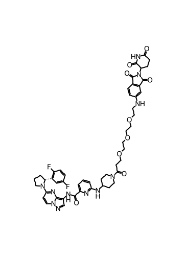 O=C1CCC(N2C(=O)c3ccc(NCCOCCOCCOCCC(=O)N4CCC(Nc5cccc(C(=O)Nc6cnn7ccc(N8CCC[C@@H]8c8cc(F)ccc8F)nc67)n5)CC4)cc3C2=O)C(=O)N1